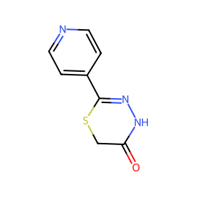 O=C1CSC(c2ccncc2)=NN1